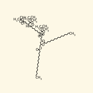 CCCCCCCCCCCCCCCC(=O)OCC(CSCCS(=O)(=O)N(CCCCCC(=O)NC(CCC(=O)OC(C)(C)C)C(=O)OC(C)(C)C)C(=O)OC(C)(C)C)OC(=O)CCCCCCCCCCCCCCC